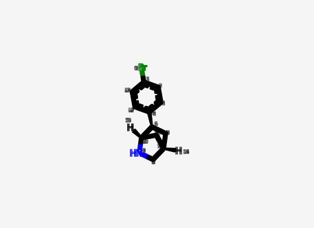 Brc1ccc([C@H]2C[C@@H]3CN[C@H]2C3)cc1